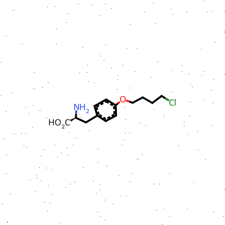 N[C@@H](Cc1ccc(OCCCCCl)cc1)C(=O)O